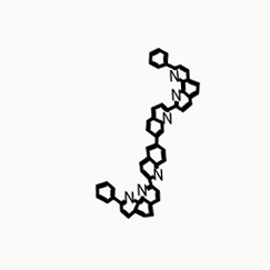 c1ccc(-c2ccc3ccc4ccc(-c5ccc6cc(-c7ccc8ccc(-c9ccc%10ccc%11ccc(-c%12ccccc%12)nc%11c%10n9)nc8c7)ccc6n5)nc4c3n2)cc1